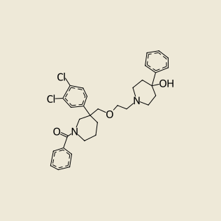 O=C(c1ccccc1)N1CCCC(COCCN2CCC(O)(c3ccccc3)CC2)(c2ccc(Cl)c(Cl)c2)C1